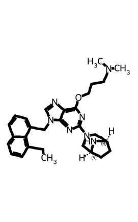 CCc1cccc2cccc(Cn3cnc4c(OCCCN(C)C)nc(N5C[C@H]6CC[C@@H](C5)N6)nc43)c12